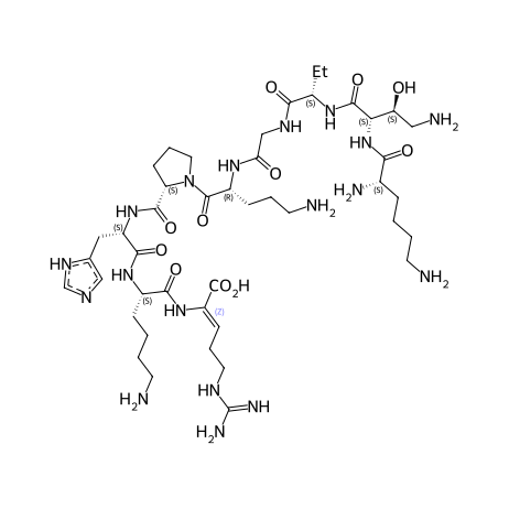 CC[C@H](NC(=O)[C@@H](NC(=O)[C@@H](N)CCCCN)[C@@H](O)CN)C(=O)NCC(=O)N[C@H](CCCN)C(=O)N1CCC[C@H]1C(=O)N[C@@H](Cc1cnc[nH]1)C(=O)N[C@@H](CCCCN)C(=O)N/C(=C\CCNC(=N)N)C(=O)O